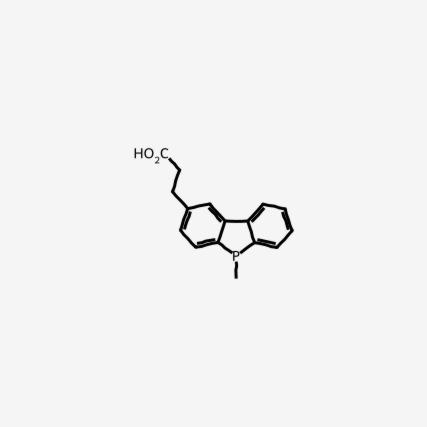 Cp1c2ccccc2c2cc(CCC(=O)O)ccc21